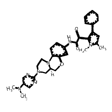 Cc1cc(-c2ccccc2)c(C(=O)C(=O)Nc2ccc3c(c2)OC[C@H]2CN(c4ncc(N(C)C)cn4)CCN32)n1C